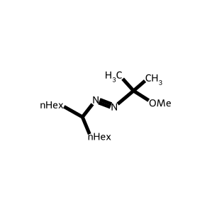 CCCCCCC(CCCCCC)N=NC(C)(C)OC